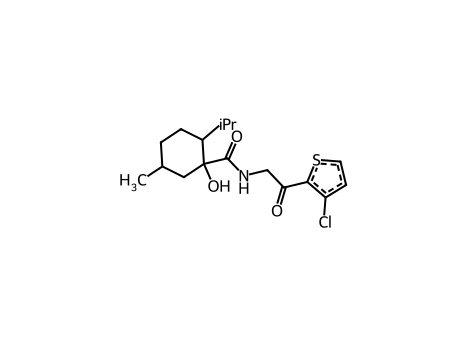 CC1CCC(C(C)C)C(O)(C(=O)NCC(=O)c2sccc2Cl)C1